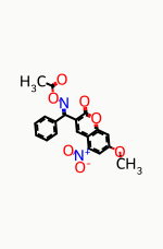 COc1cc([N+](=O)[O-])c2cc(/C(=N/OC(C)=O)c3ccccc3)c(=O)oc2c1